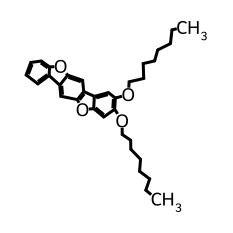 CCCCCCCCOc1cc2oc3cc4c(cc3c2cc1OCCCCCCCC)oc1ccccc14